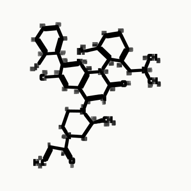 C=CC(=O)N1CCN(c2nc(=O)n(-c3c(CN(C)C)cccc3C(C)C)c3nc(-c4ccccc4F)c(Cl)cc23)[C@@H](C)C1